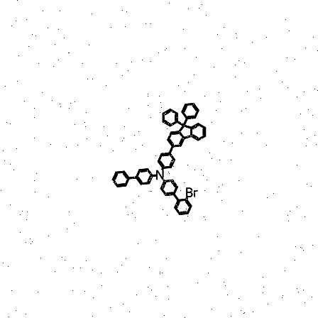 Brc1ccccc1-c1ccc(N(c2ccc(-c3ccccc3)cc2)c2ccc(-c3ccc4c(c3)-c3ccccc3C4(c3ccccc3)c3ccccc3)cc2)cc1